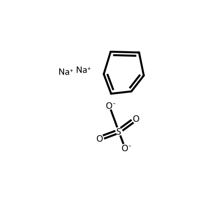 O=S(=O)([O-])[O-].[Na+].[Na+].c1ccccc1